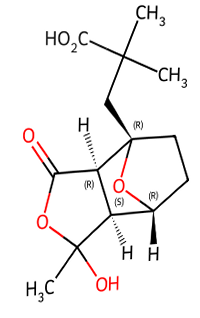 CC(C)(C[C@@]12CC[C@@H](O1)[C@@H]1[C@H]2C(=O)OC1(C)O)C(=O)O